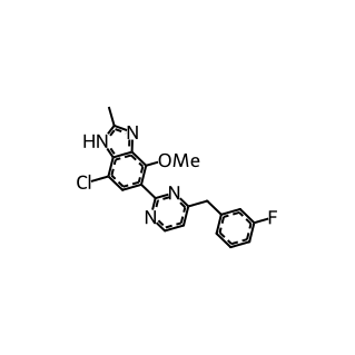 COc1c(-c2nccc(Cc3cccc(F)c3)n2)cc(Cl)c2[nH]c(C)nc12